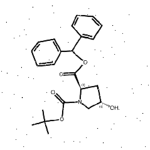 CC(C)(C)OC(=O)N1C[C@@H](O)C[C@@H]1C(=O)OC(c1ccccc1)c1ccccc1